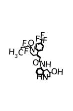 CCC(F)(F)C(=O)N1CCC(=CC(=O)Nc2cccc3c2CC(O)CN3)c2ccc(C(F)(F)F)cc21